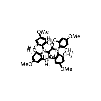 COc1cc(C)c(N(C(=N)C(=O)N(c2c(C)cc(OC)cc2C)c2c(C)cc(OC)cc2C)c2c(C)cc(OC)cc2C)c(C)c1